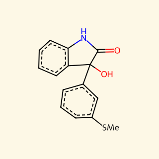 CSc1cccc(C2(O)C(=O)Nc3ccccc32)c1